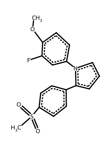 COc1ccc(-n2cccc2-c2ccc(S(C)(=O)=O)cc2)cc1F